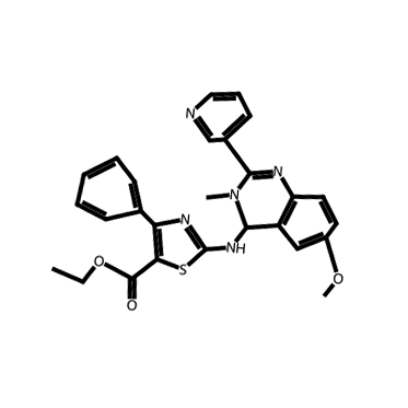 CCOC(=O)c1sc(NC2c3cc(OC)ccc3N=C(c3cccnc3)N2C)nc1-c1ccccc1